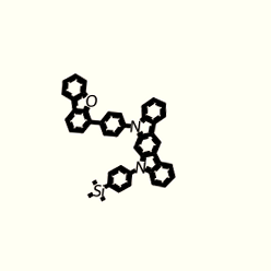 C[Si](C)(C)c1ccc(-n2c3ccccc3c3cc4c5ccccc5n(-c5ccc(-c6cccc7c6oc6ccccc67)cc5)c4cc32)cc1